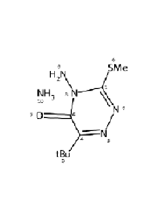 CSc1nnc(C(C)(C)C)c(=O)n1N.N